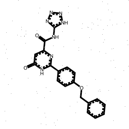 O=C(Nc1nnn[nH]1)c1cc(=O)[nH]c(-c2ccc(OCc3ccccc3)cc2)n1